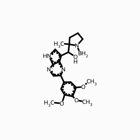 BN1CCCC1(C)C(O)c1c[nH]c2ncc(-c3cc(OC)c(OC)c(OC)c3)nc12